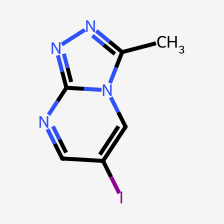 Cc1nnc2ncc(I)cn12